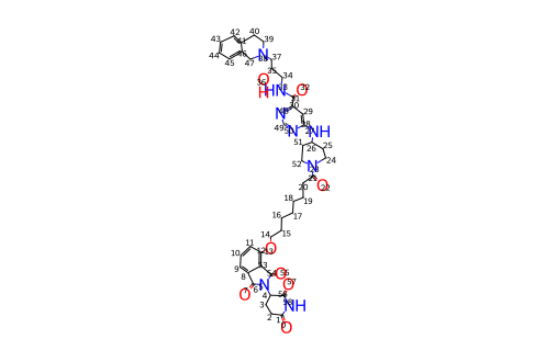 O=C1CCC(N2C(=O)c3cccc(OCCCCCCCC(=O)N4CCC(Nc5cc(C(=O)NC[C@H](O)CN6CCc7ccccc7C6)ncn5)CC4)c3C2=O)C(=O)N1